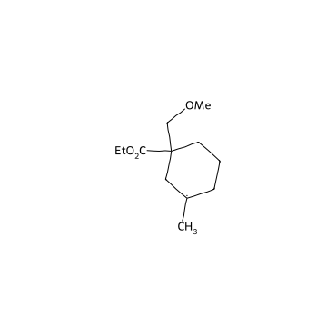 CCOC(=O)C1(COC)CCC[C](C)C1